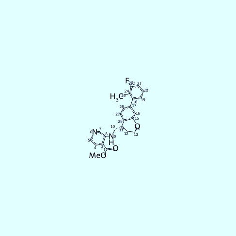 COC(=O)c1ccncc1NC[C@H]1CCOc2cc(-c3cccc(F)c3C)ccc21